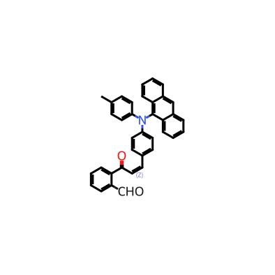 Cc1ccc(N(c2ccc(/C=C\C(=O)c3ccccc3C=O)cc2)c2c3ccccc3cc3ccccc23)cc1